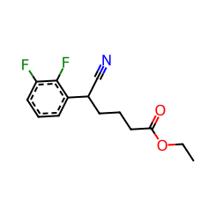 CCOC(=O)CCCC(C#N)c1cccc(F)c1F